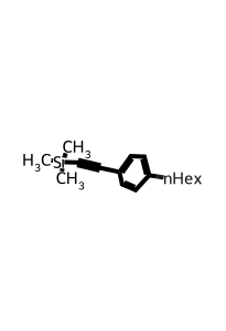 CCCCCCc1ccc(C#C[Si](C)(C)C)cc1